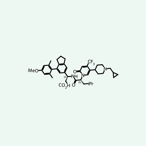 COc1cc(C)c(-c2cc([C@H](CC(=O)O)NC(=O)[C@H](CC(C)C)n3cc(C4CCN(CC5CC5)CC4)c(C(F)(F)F)cc3=O)cc3c2CCC3)c(C)c1